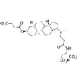 C[C@H](CCC(=O)N[C@@H](CC(=O)O)C(=O)O)C1CC[C@H]2C3CC[C@@H]4C[C@H](OC(=O)CCC(=O)O)CC[C@]4(C)C3CC[C@]12C